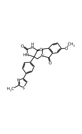 COc1ccc2c(c1)C(=O)N(CC1(c3ccc(-c4csc(C)n4)cc3)NC(=O)NC1=O)C2